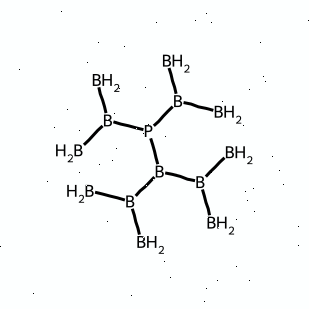 BB(B)B(B(B)B)P(B(B)B)B(B)B